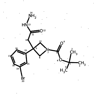 CC(C)(C)OC(=O)N1CC(CC(=O)NN)(c2cccc(Br)c2)C1